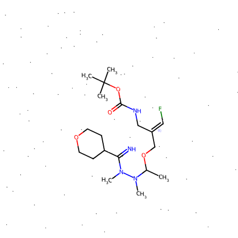 CC(OC/C(=C/F)CNC(=O)OC(C)(C)C)N(C)N(C)C(=N)C1CCOCC1